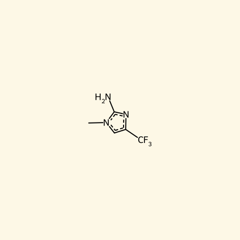 Cn1cc(C(F)(F)F)nc1N